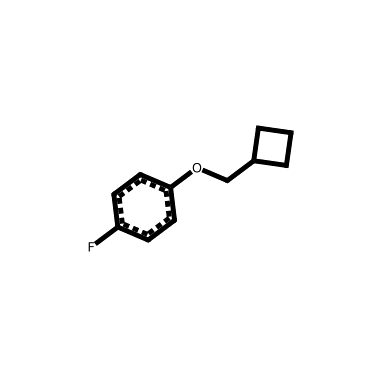 Fc1ccc(OCC2CCC2)cc1